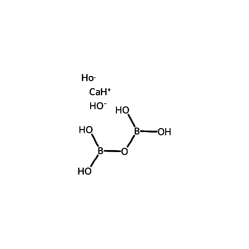 OB(O)OB(O)O.[CaH+].[Ho].[OH-]